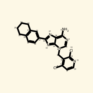 Nc1ncn(Cc2c(Cl)ccnc2Cl)c2nc(-c3ccc4c(c3)CCCC4)nc1-2